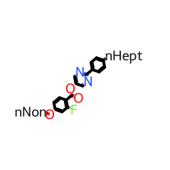 CCCCCCCCCOc1ccc(C(=O)Oc2cnc(-c3ccc(CCCCCCC)cc3)nc2)c(F)c1